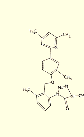 Cc1cc(C)nc(-c2ccc(OCc3c(C)cccc3-n3nnn(C)c3=O)c(C)c2)c1